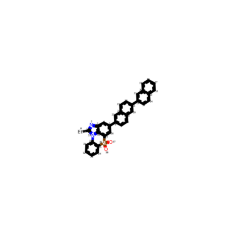 CCc1nc2cc(-c3ccc4cc(-c5ccc6ccccc6c5)ccc4c3)cc3c2n1-c1ccccc1S3(=O)=O